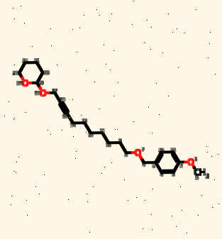 COc1ccc(COCCCCCCCC#CCOC2CCCCO2)cc1